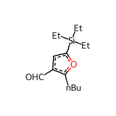 CCCCc1oc([Si](CC)(CC)CC)cc1C=O